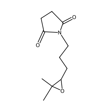 CC1(C)OC1CCCN1C(=O)CCC1=O